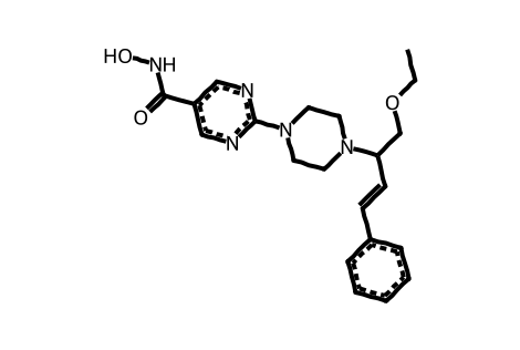 CCOCC(/C=C/c1ccccc1)N1CCN(c2ncc(C(=O)NO)cn2)CC1